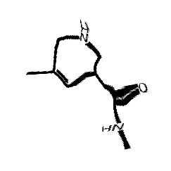 CNC(=O)C1C=C(C)CNC1